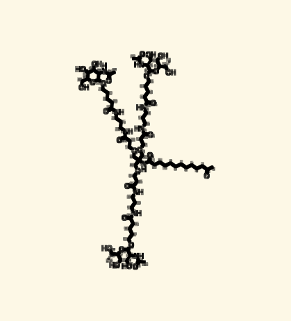 CC(=O)CCCCCCCCCCC(=O)NC(COCCC(=O)NCCCNC(=O)CCCCOC1OC(CO)C(O)C(O)C1NC(C)=O)(COCCC(=O)NCCCNC(=O)CCCCOC(OC(CO)[C@H](C)O)[C@H](CO)NC(C)=O)COCCC(=O)NCCCNC(=O)CCCCOC(OC(CO)[C@H](C)O)[C@H](CO)NC(C)=O